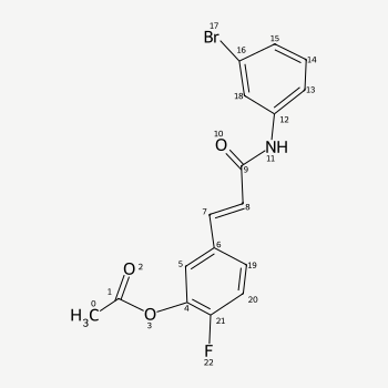 CC(=O)Oc1cc(C=CC(=O)Nc2cccc(Br)c2)ccc1F